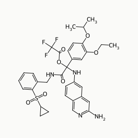 CCOc1cc(C(Nc2ccc3cnc(N)cc3c2)(OC(=O)C(F)(F)F)C(=O)NCc2ccccc2S(=O)(=O)C2CC2)ccc1OC(C)C